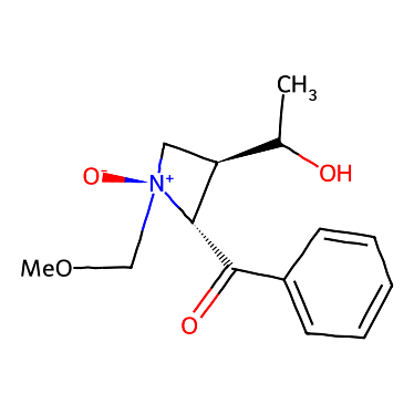 COC[N@+]1([O-])C[C@@H](C(C)O)[C@@H]1C(=O)c1ccccc1